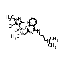 Cc1nn(C)c(Cl)c1S(=O)(=O)N(C)Cc1nc(NCCCN(C)C)c2ccccc2n1